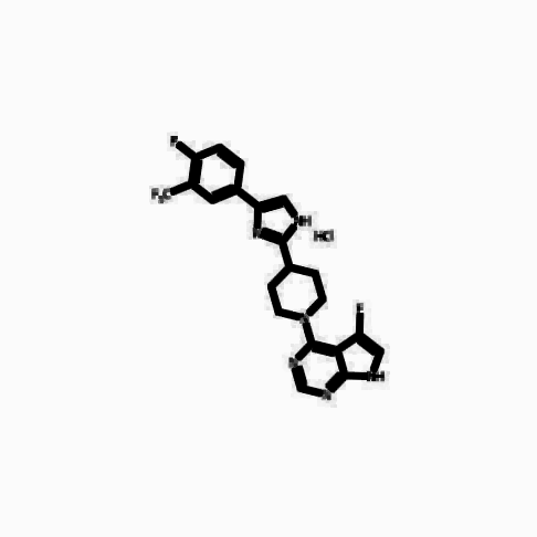 Cl.Fc1ccc(-c2c[nH]c(C3CCN(c4ncnc5[nH]cc(F)c45)CC3)n2)cc1C(F)(F)F